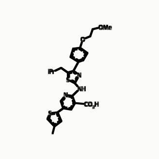 COCCOc1ccc(-c2nc(Nc3ncc(-c4cc(C)cs4)cc3C(=O)O)sc2CC(C)C)cc1